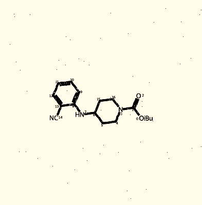 CC(C)COC(=O)N1CCC(Nc2ccccc2C#N)CC1